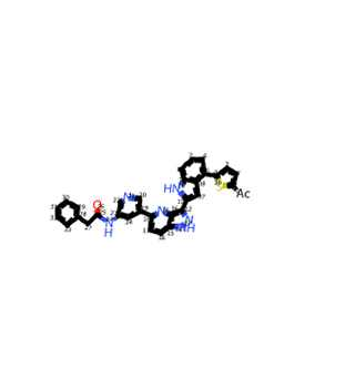 CC(=O)c1ccc(-c2cccc3[nH]c(-c4n[nH]c5ccc(-c6cncc(NC(=O)Cc7ccccc7)c6)nc45)cc23)s1